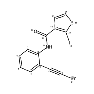 CC(C)C#Cc1ccccc1NC(=O)c1ccsc1I